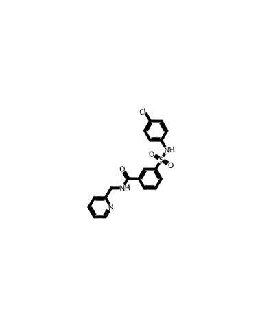 O=C(NCc1ccccn1)c1cccc(S(=O)(=O)Nc2ccc(Cl)cc2)c1